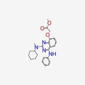 COC(=O)COc1cccc2c(Nc3ccccc3)nc(N(C)C3CCCCC3)nc12